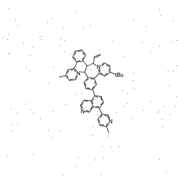 C=CC1C2c3ccccc3-c3cc(C)cc[n+]3C2c2ccc(-c3ccc(-c4ccc(C)nc4)c4cnccc34)cc2-c2cc(C(C)(C)C)cc[n+]21